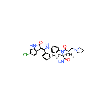 CC(C)(C(N)=O)N(C(=O)CCN1CCCC1)c1ccc(N/C(=C2\C(=O)Nc3cc(Cl)ccc32)c2ccccc2)cc1